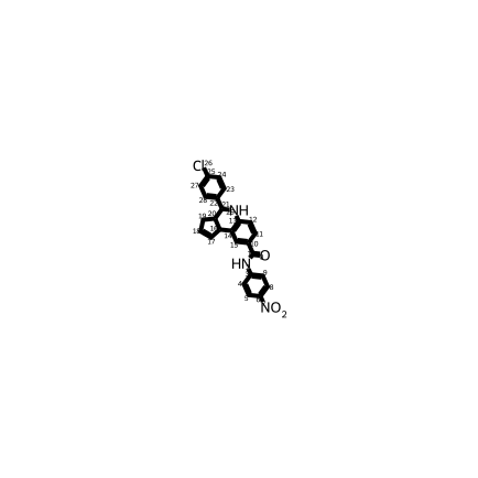 O=C(Nc1ccc([N+](=O)[O-])cc1)c1ccc2c(c1)C1C=CCC1C(c1ccc(Cl)cc1)N2